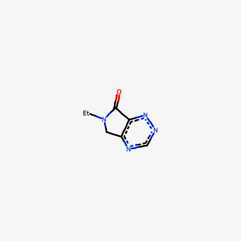 CCN1Cc2ncnnc2C1=O